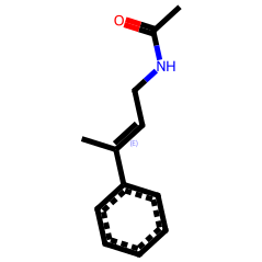 CC(=O)NC/C=C(\C)c1ccccc1